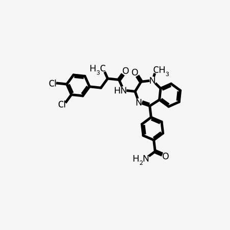 CC(Cc1ccc(Cl)c(Cl)c1)C(=O)NC1N=C(c2ccc(C(N)=O)cc2)c2ccccc2N(C)C1=O